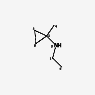 CCNC1(C)CC1